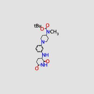 CN(C(=O)OC(C)(C)C)C1CCN(c2cccc(NC3CCC(=O)NC3=O)c2)CC1